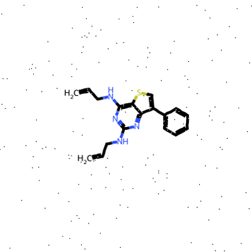 C=CCNc1nc(NCC=C)c2scc(-c3ccccc3)c2n1